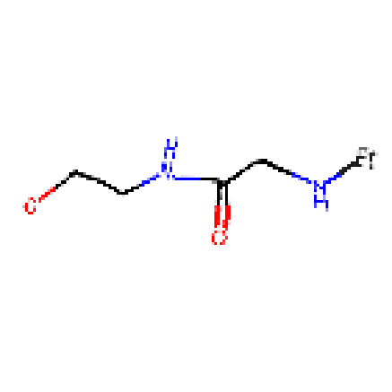 CCNCC(=O)NCC[O]